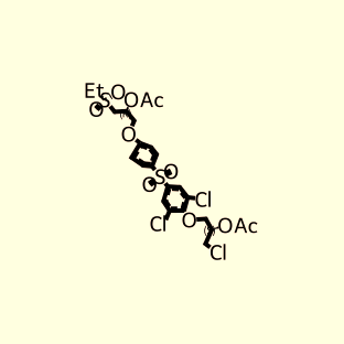 CCS(=O)(=O)C[C@@H](COc1ccc(S(=O)(=O)c2cc(Cl)c(OC[C@@H](CCl)OC(C)=O)c(Cl)c2)cc1)OC(C)=O